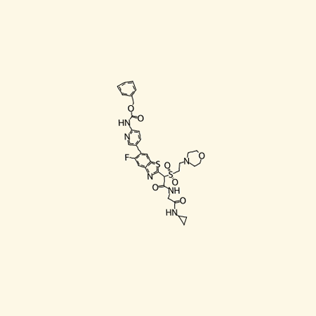 O=C(CNC(=O)C(c1nc2cc(F)c(-c3ccc(NC(=O)OCc4ccccc4)nc3)cc2s1)S(=O)(=O)CCN1CCOCC1)NC1CC1